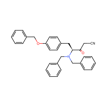 N#CCC(=O)[C@H](Cc1ccc(OCc2ccccc2)cc1)N(Cc1ccccc1)Cc1ccccc1